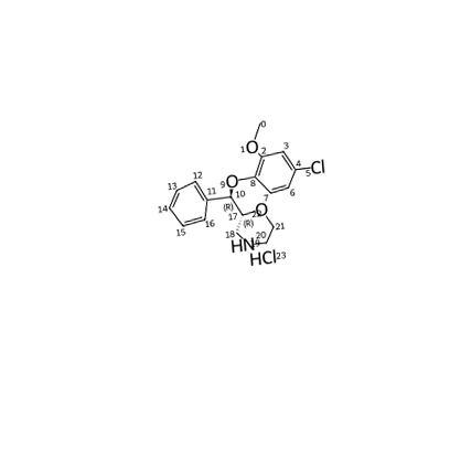 COc1cc(Cl)ccc1O[C@H](c1ccccc1)[C@H]1CNCCO1.Cl